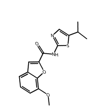 COc1cccc2cc(C(=O)Nc3ncc(C(C)C)s3)oc12